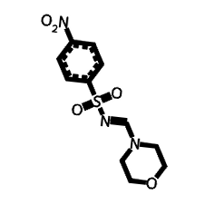 O=[N+]([O-])c1ccc(S(=O)(=O)/N=C/N2CCOCC2)cc1